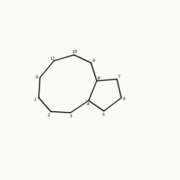 C1CCC[C]2CCCC2CCC1